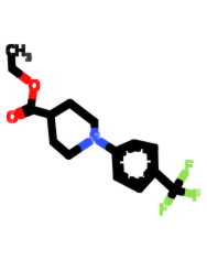 CCOC(=O)C1CCN(c2ccc(C(F)(F)F)cc2)CC1